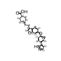 O=C(O)C1CCN(CCc2coc3cc(Oc4ccc(-c5ccn[nH]5)cn4)ccc23)CC1